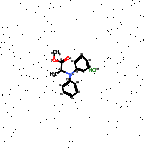 COC(=O)[C@H](C)N(c1ccccc1)c1ccccc1.Cl